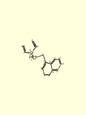 C=C[SiH](C=C)OCc1cccc2ccccc12